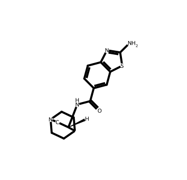 Nc1nc2ccc(C(=O)N[C@H]3CN4CCC3CC4)cc2s1